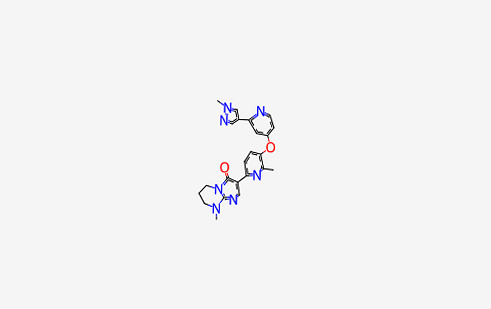 Cc1nc(-c2cnc3n(c2=O)CCCN3C)ccc1Oc1ccnc(-c2cnn(C)c2)c1